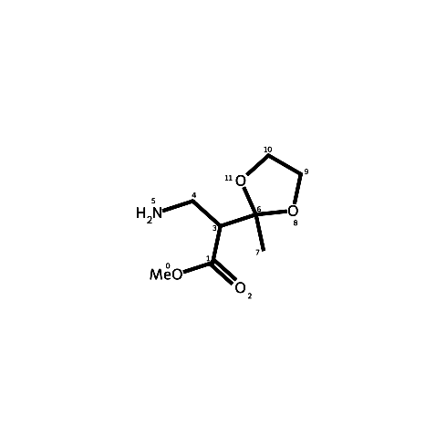 COC(=O)C(CN)C1(C)OCCO1